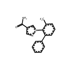 NC(=O)c1cnn(-c2c(-c3ccccc3)cccc2C(F)(F)F)c1